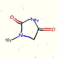 [CH2]CCN1CC(=O)NC1=O